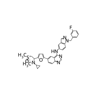 CN(C1CC1)C(C[S+](C)[O-])c1ccc(-c2ccc3ncnc(Nc4ccc5c(cnn5Cc5cccc(F)c5)c4)c3c2)o1